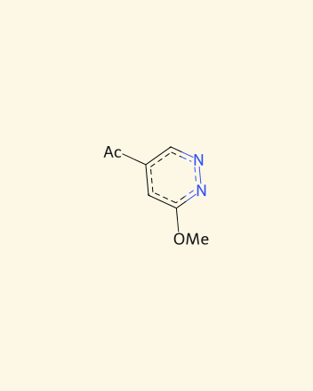 COc1cc(C(C)=O)cnn1